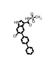 CS(=O)(=O)NC(=O)c1c[nH]c2cc(Cl)c(-c3ccc(-c4ccccc4)cc3)cc12